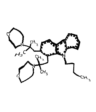 CCCCn1c2ccccc2c2ccc(CC(C)(C)N3CCOCC3)c(CC(C)(C)N3CCOCC3)c21